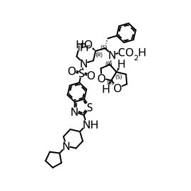 CC(C)CN(C[C@@H](O)[C@H](Cc1ccccc1)N(C(=O)O)[C@H]1CO[C@H]2OCC[C@H]21)S(=O)(=O)c1ccc2nc(NC3CCN(C4CCCC4)CC3)sc2c1